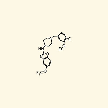 CCOc1cc(CN2CCC(Nc3nc4cc(OC(F)(F)F)ccc4o3)CC2)ccc1Cl